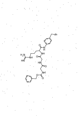 CC(C)Cc1ccc(NC(=O)C(CCCNC(=N)N)NC(=O)CNC(=O)CNC(=O)OCc2ccccc2)cc1